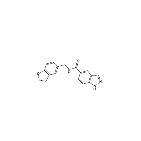 O=C(NCc1ccc2c(c1)CCO2)c1ccc2[nH]ncc2c1